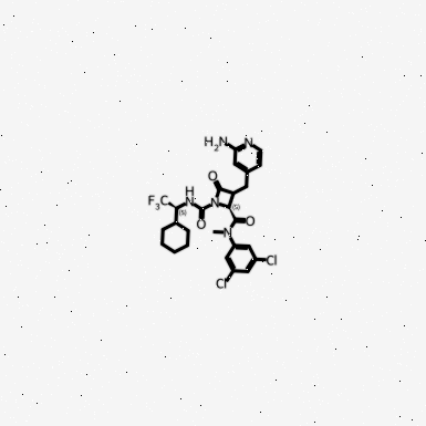 CN(C(=O)[C@@H]1C(Cc2ccnc(N)c2)C(=O)N1C(=O)N[C@@H](C1CCCCC1)C(F)(F)F)c1cc(Cl)cc(Cl)c1